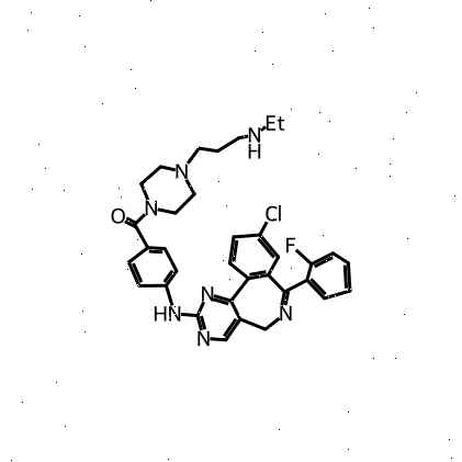 CCNCCCN1CCN(C(=O)c2ccc(Nc3ncc4c(n3)-c3ccc(Cl)cc3C(c3ccccc3F)=NC4)cc2)CC1